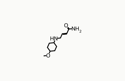 COC1CCC(NCC=CC(N)=O)CC1